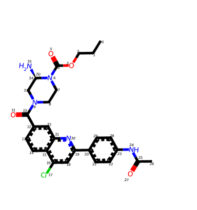 CCCOC(=O)N1CCN(C(=O)c2ccc3c(Cl)cc(-c4ccc(NC(C)=O)cc4)nc3c2)C[C@H]1N